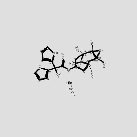 Br.Br.C[N+]1(C)[C@@H]2CC(OC(=O)C(O)(c3cccs3)c3cccs3)C[C@H]1[C@@H]1O[C@@H]12.I